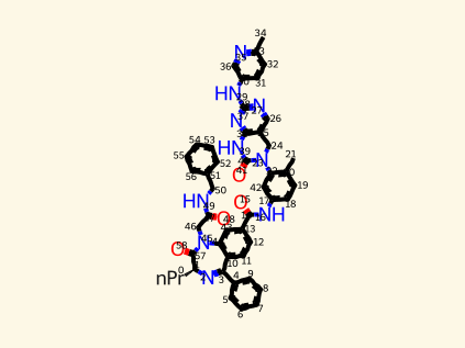 CCC[C@@H]1N=C(c2ccccc2)c2ccc(C(=O)Nc3ccc(C)c(N4Cc5cnc(Nc6ccc(C)nc6)nc5NC4=O)c3)cc2N(CC(=O)NCc2ccccc2)C1=O